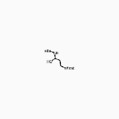 CCCCCCCC(O)NCCCC